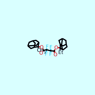 CCC1(OC(=O)C(F)(F)C(F)(F)C(=O)OC2(C)C3CC4CC(C3)CC2C4)C2CC3CC(C2)CC1C3